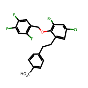 O=C(O)c1ccc(CCc2cc(Cl)cc(Br)c2OCc2cc(F)c(F)cc2F)cc1